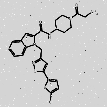 NCC(=O)N1CCC(NC(=O)c2cc3ccccc3n2Cc2cc(-c3ccc(Cl)s3)on2)CC1